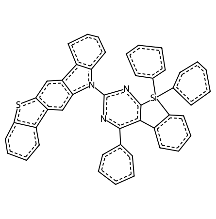 c1ccc(-c2nc(-n3c4ccccc4c4cc5sc6ccccc6c5cc43)nc3c2-c2ccccc2[Si]3(c2ccccc2)c2ccccc2)cc1